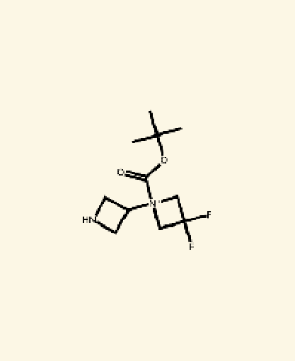 CC(C)(C)OC(=O)[N+]1(C2CNC2)CC(F)(F)C1